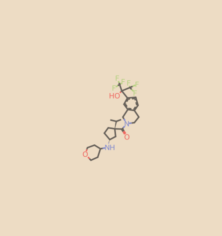 CC(C)[C@]1(C(=O)N2CCc3ccc(C(O)(C(F)(F)F)C(F)(F)F)cc3C2)CC[C@@H](NC2CCOCC2)C1